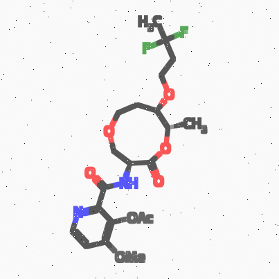 COc1ccnc(C(=O)N[C@H]2COCC[C@@H](OCCC(C)(F)F)[C@H](C)OC2=O)c1OC(C)=O